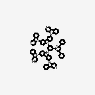 c1ccc(-c2cc(-c3ccccc3)nc(-c3cc(-n4c5ccc(-n6c7ccccc7c7cnccc76)cc5c5cc(-n6c7ccccc7c7cnccc76)ccc54)cc(-n4c5ccc(-n6c7ccccc7c7cnccc76)cc5c5cc(-n6c7ccccc7c7cnccc76)ccc54)c3)n2)cc1